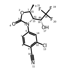 C[C@@H]1OC(=O)N(c2ccc(C#N)c(Cl)c2)[C@H]1[C@@H](O)C(F)(F)F